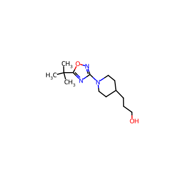 CC(C)(C)c1nc(N2CCC(CCCO)CC2)no1